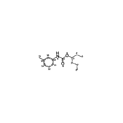 CCCC(CC)OC(=O)Nc1cccc(C)c1